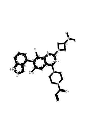 C=CC(=O)N1CCN(c2nc(N3CC(N(C)C)C3)nc3c(F)c(-c4cccc5[nH]ncc45)c(Cl)cc23)CC1